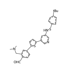 CN(C)Cc1cc(-c2ccc(-c3cncc(NSc4ccc(C(C)(C)C)cc4)c3)s2)ccc1C=O